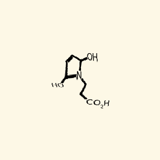 O=C(O)CCN1C(O)C=CC1O